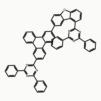 c1ccc(-c2nc(-c3ccccc3)nc(-c3ccc4c5ccc(-c6ccc7oc8cccc(-c9nc(-c%10ccccc%10)nc(-c%10ccccc%10)n9)c8c7c6)cc5c5ccccc5c4c3)n2)cc1